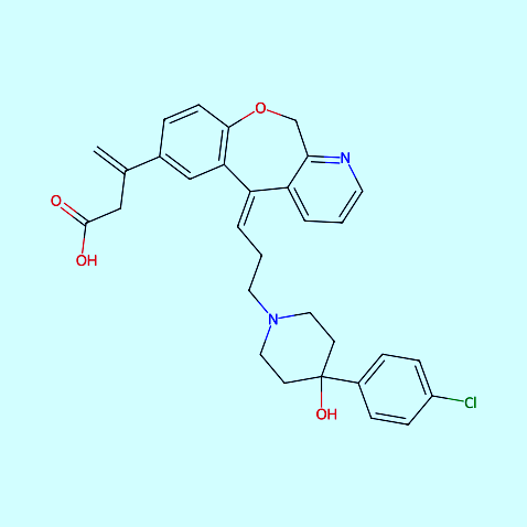 C=C(CC(=O)O)c1ccc2c(c1)/C(=C/CCN1CCC(O)(c3ccc(Cl)cc3)CC1)c1cccnc1CO2